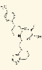 FC(F)(F)c1ccc(C2CCN(CCC3CCCc4sccc43)CC2)cc1.O=C(O)C(=O)O